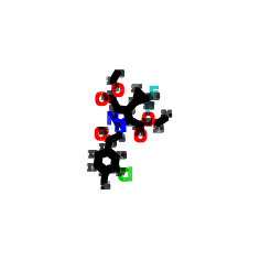 CCOC(=O)c1nn(CC(=O)c2ccc(C)c(Cl)c2)c(C(=O)OCC)c1C1CC1(F)F